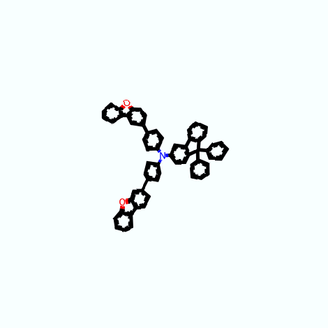 c1ccc(C2(c3ccccc3)c3ccccc3-c3cc(N(c4ccc(-c5ccc6c(c5)oc5ccccc56)cc4)c4ccc(-c5ccc6oc7ccccc7c6c5)cc4)ccc32)cc1